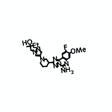 CCC(C)(O)Cn1cc(N2CCCC(c3nc4c5cc(F)c(OC)cc5nc(N)n4n3)C2)cn1